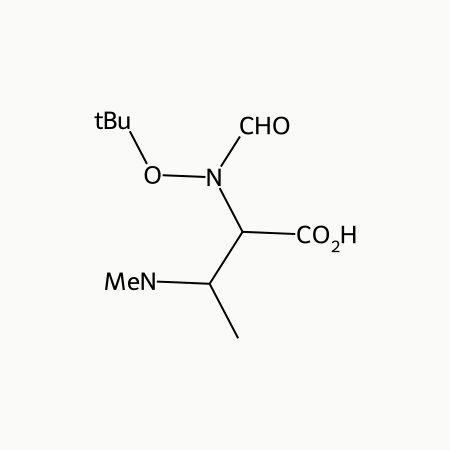 CNC(C)C(C(=O)O)N(C=O)OC(C)(C)C